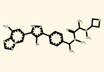 Cc1cc(-c2[nH]nc(-c3ccc(C(C)N(C)C(=O)C(C)N(C)C4COC4)cc3)c2C(C)C)cn2ncnc12